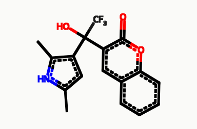 Cc1cc(C(O)(c2cc3ccccc3oc2=O)C(F)(F)F)c(C)[nH]1